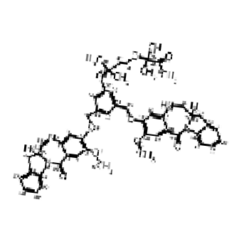 COc1cc2c(cc1OCc1cc(COc3cc4c(cc3OC)C(=O)N3c5ccccc5C[C@H]3CN4)cc(OC(C)(C)CCOC(C)(C)C(C)=O)c1)N=C[C@@H]1Cc3ccccc3N1C2=O